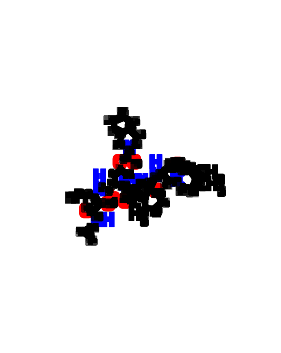 CCCC(NC(=O)[C@@H]1C[C@@H](OC(=O)N2CCc3ccccc3C2)CN1C(=O)[C@@H](NC(=O)N[C@H](CN1CCC(C)(C)CC1=O)C(C)(C)C)C1(C)CCCCC1)C(=O)C(=O)NC1CC1